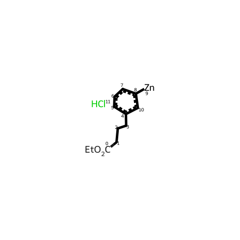 CCOC(=O)CCCc1ccc[c]([Zn])c1.Cl